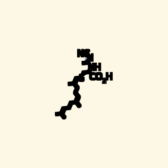 CC(C)=CCCC(C)=CCCC(C)=CSCC(N/C(C)=N/C#N)C(=O)O